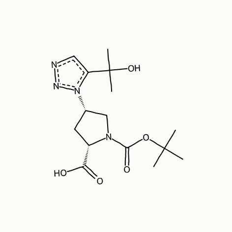 CC(C)(C)OC(=O)N1C[C@@H](n2nncc2C(C)(C)O)C[C@H]1C(=O)O